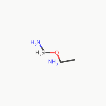 CCO[SiH2]N.N